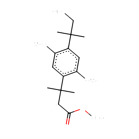 CCCCCCOC(=O)CC(C)(C)c1cc(OC)c(C(C)(C)CC=O)cc1OC